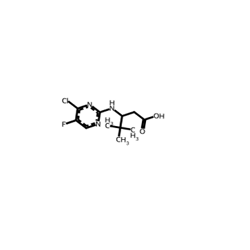 CC(C)(C)C(CC(=O)O)Nc1ncc(F)c(Cl)n1